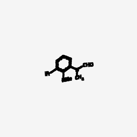 CNc1c(C(C)C)cccc1N(C)C=O